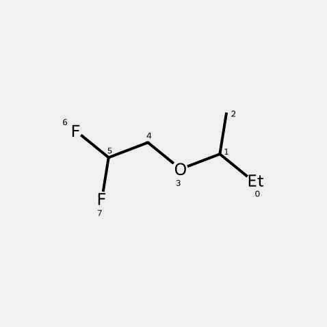 [CH2]CC(C)OCC(F)F